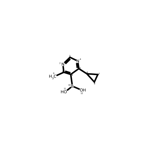 Cc1ncnc(C2CC2)c1B(O)O